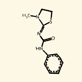 CN1CCS/C1=N\C(=O)Nc1ccccc1